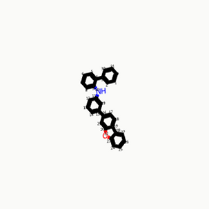 c1ccc(-c2ccccc2Nc2cccc(-c3ccc4c(c3)oc3ccccc34)c2)cc1